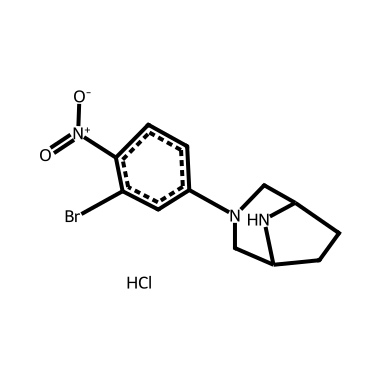 Cl.O=[N+]([O-])c1ccc(N2CC3CCC(C2)N3)cc1Br